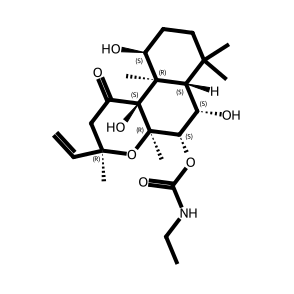 C=C[C@@]1(C)CC(=O)[C@]2(O)[C@@]3(C)[C@@H](O)CCC(C)(C)[C@@H]3[C@H](O)[C@H](OC(=O)NCC)[C@@]2(C)O1